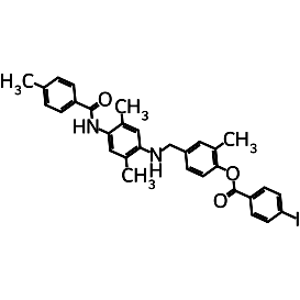 Cc1ccc(C(=O)Nc2cc(C)c(NCc3ccc(OC(=O)c4ccc(I)cc4)c(C)c3)cc2C)cc1